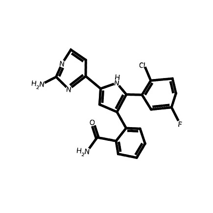 NC(=O)c1ccccc1-c1cc(-c2ccnc(N)n2)[nH]c1-c1cc(F)ccc1Cl